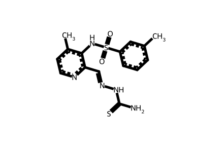 Cc1cccc(S(=O)(=O)Nc2c(C)ccnc2C=NNC(N)=S)c1